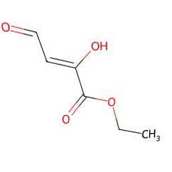 CCOC(=O)/C(O)=C/C=O